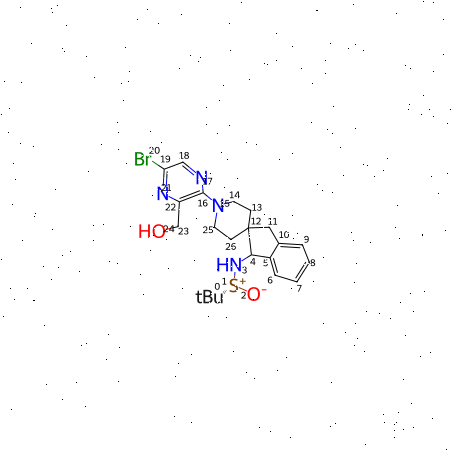 CC(C)(C)[S@@+]([O-])NC1c2ccccc2CC12CCN(c1ncc(Br)nc1CO)CC2